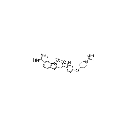 CCn1c(CC(C(=O)O)c2ccc(OC3CCN(C(C)=N)CC3)cc2)cc2ccc(C(=N)N)cc21